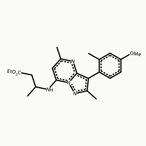 CCOC(=O)CC(C)Nc1cc(C)nc2c(-c3ccc(OC)cc3C)c(C)nn12